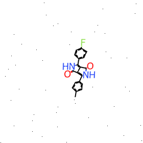 Cc1ccc(C2=C3C(=O)NC(c4ccc(F)cc4)=C3C(=O)N2)cc1